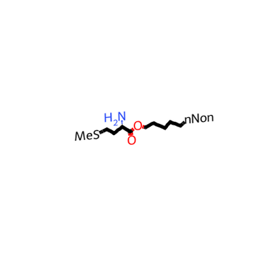 CCCCCCCCCCCCCCOC(=O)[C@@H](N)CCSC